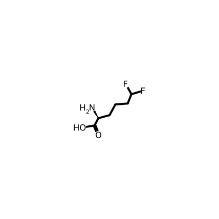 N[C@@H](CCCC(F)F)C(=O)O